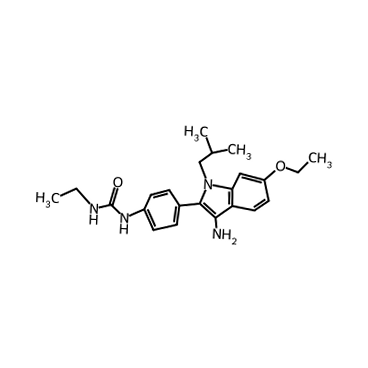 CCNC(=O)Nc1ccc(-c2c(N)c3ccc(OCC)cc3n2CC(C)C)cc1